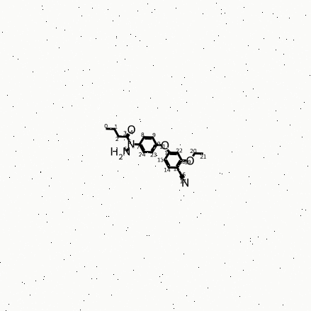 CCCC(=O)N(N)c1ccc(Oc2ccc(C#N)c(OCC)c2)cc1